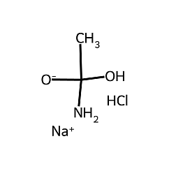 CC(N)([O-])O.Cl.[Na+]